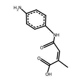 C/C(=C/C(=O)Nc1ccc(N)cc1)C(=O)O